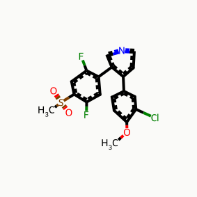 COc1ccc(-c2ccncc2-c2cc(F)c(S(C)(=O)=O)cc2F)cc1Cl